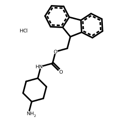 Cl.NC1CCC(NC(=O)OCC2c3ccccc3-c3ccccc32)CC1